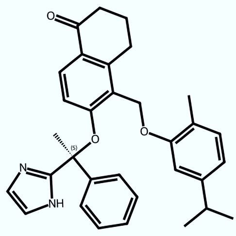 Cc1ccc(C(C)C)cc1OCc1c(O[C@@](C)(c2ccccc2)c2ncc[nH]2)ccc2c1CCCC2=O